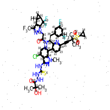 Cn1nc(NC(=S)NNC(=O)C(C)(C)O)c2c(Cl)ccc(-c3ccc(C#CC(C)(C)S(=O)(=O)C4CC4)nc3[C@H](Cc3cc(F)cc(F)c3)NC(=O)Cn3nc(C(F)(F)F)c4c3C(F)(F)C3C[C@H]43)c21